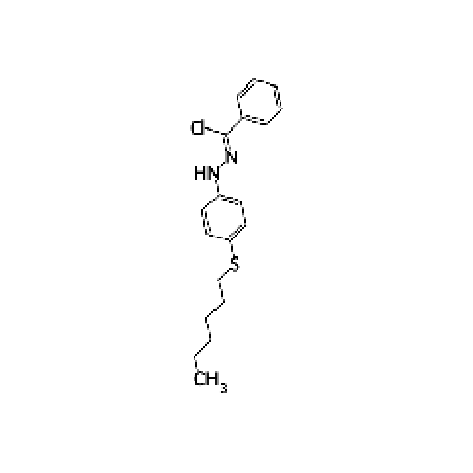 CCCCCCSc1ccc(NN=C(Cl)c2ccccc2)cc1